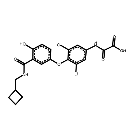 O=C(O)C(=O)Nc1cc(Cl)c(Oc2ccc(O)c(C(=O)NCC3CCC3)c2)c(Cl)c1